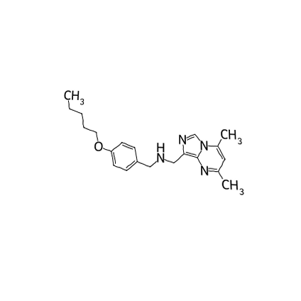 CCCCCOc1ccc(CNCc2ncn3c(C)cc(C)nc23)cc1